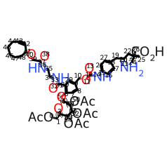 CC(=O)OC[C@H]1O[C@@H](Oc2ccc(COC(=O)Nc3ccc(C[C@H](N)CC(C)(C)C(=O)O)cc3)cc2C(=O)NCCNC(=O)COC2C#CCCCCC2)[C@H](OC(C)=O)[C@@H](OC(C)=O)[C@@H]1OC(C)=O